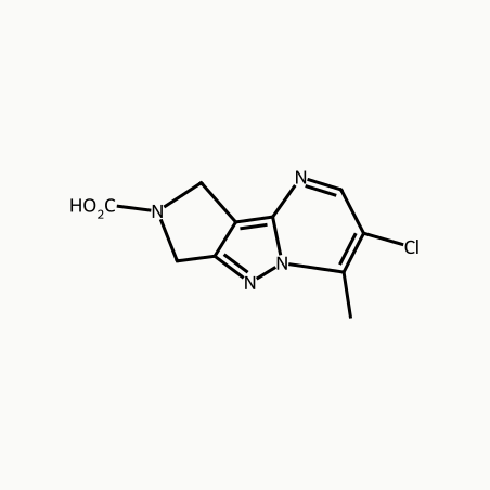 Cc1c(Cl)cnc2c3c(nn12)CN(C(=O)O)C3